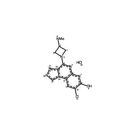 CNC1CN(c2nc3nc(O)c(Cl)cc3n3cnnc23)C1.Cl